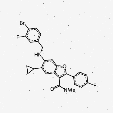 CNC(=O)c1c(-c2ccc(F)cc2)oc2cc(NCc3ccc(Br)c(F)c3)c(C3CC3)cc12